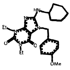 CCn1c(=O)c2c(nc(NC3CCCCC3)n2Cc2ccc(OC)cc2)n(CC)c1=O